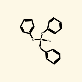 [Au][PH](Oc1ccccc1)(Oc1ccccc1)Oc1ccccc1